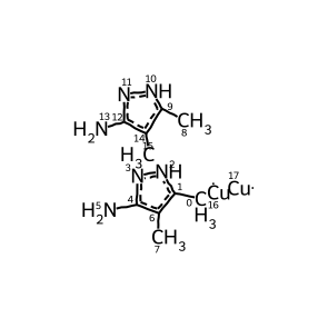 Cc1[nH]nc(N)c1C.Cc1[nH]nc(N)c1C.[Cu].[Cu]